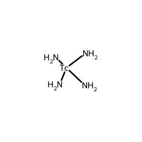 [NH2][Tc]([NH2])([NH2])[NH2]